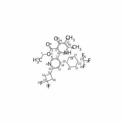 CCOC(=O)c1c(-c2cnc(C3CC(F)(F)C3)cc2[C@H]2CC[C@@H](C(F)(F)F)CC2)[nH]c(C)c(C)c1=O